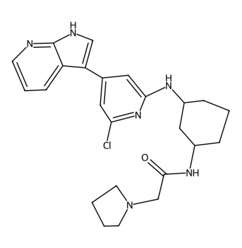 O=C(CN1CCCC1)NC1CCCC(Nc2cc(-c3c[nH]c4ncccc34)cc(Cl)n2)C1